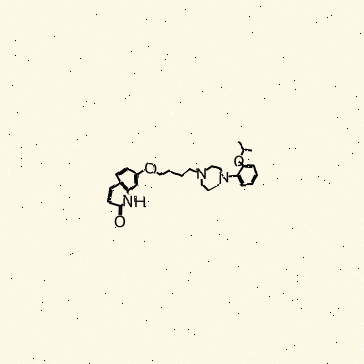 CC(C)Oc1ccccc1N1CCCN(CCCCOc2ccc3ccc(=O)[nH]c3c2)CC1